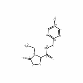 CCN1C(=O)CCC1C(=O)NCc1ccc(Cl)cc1